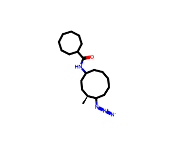 C[C@H]1CCC(NC(=O)C2CCCCCCC2)CCCCCC1N=[N+]=[N-]